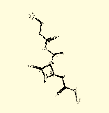 CCOC(=S)C[C@H]1NC(=O)[C@@H]1C(C)OC(=O)OCC(Cl)(Cl)Cl